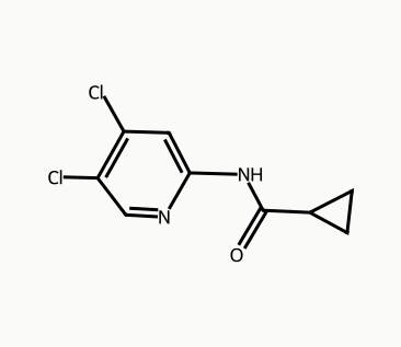 O=C(Nc1cc(Cl)c(Cl)cn1)C1CC1